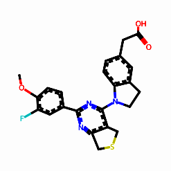 COc1ccc(-c2nc3c(c(N4CCc5cc(CC(=O)O)ccc54)n2)CSC3)cc1F